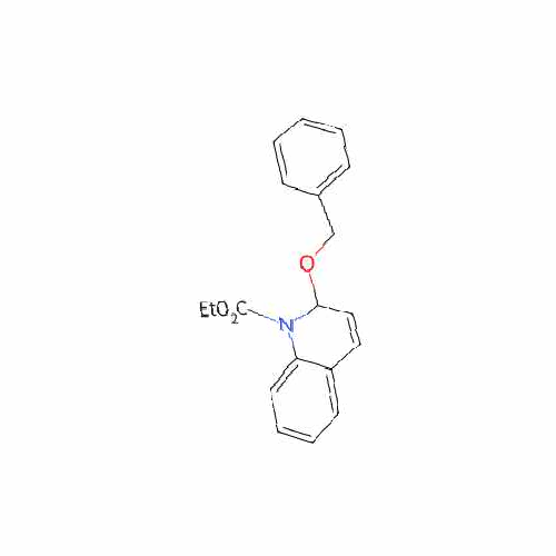 CCOC(=O)N1c2ccccc2C=CC1OCc1ccccc1